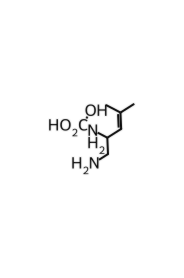 CC(C)=CC(N)CN.O=C(O)O